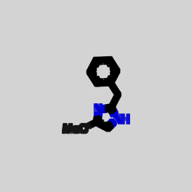 COc1c[nH]c(Cc2ccccc2)n1